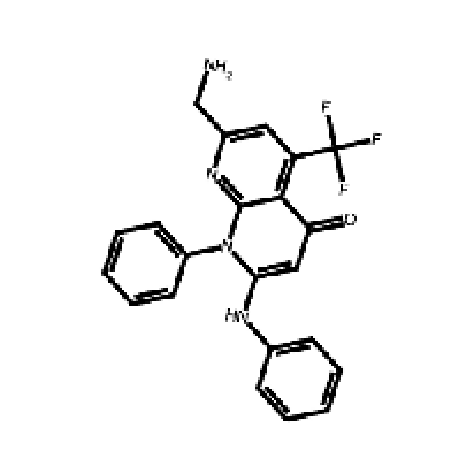 NCc1cc(C(F)(F)F)c2c(=O)cc(Nc3ccccc3)n(-c3ccccc3)c2n1